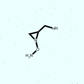 CCCCC1CN1ON